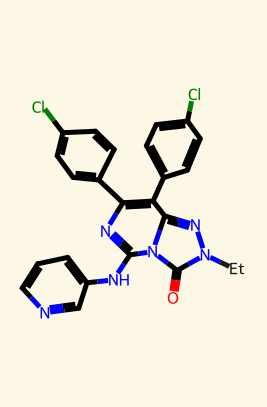 CCn1nc2c(-c3ccc(Cl)cc3)c(-c3ccc(Cl)cc3)nc(Nc3cccnc3)n2c1=O